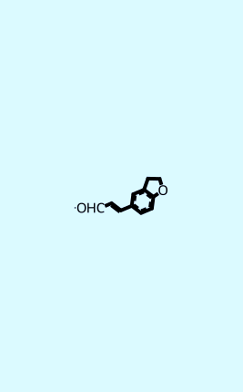 O=[C]C=Cc1ccc2c(c1)CCO2